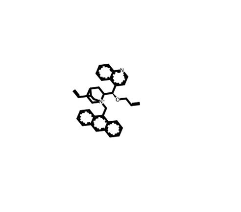 C=CCO[C@H](c1ccnc2ccccc12)C1CC2CC[N+]1(Cc1c3ccccc3cc3ccccc13)CC2C=C